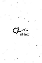 C=C=CC(CCCCCC)c1ccccn1